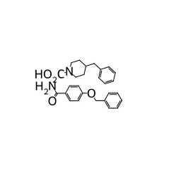 NC(=O)c1ccc(OCc2ccccc2)cc1.O=C(O)N1CCC(Cc2ccccc2)CC1